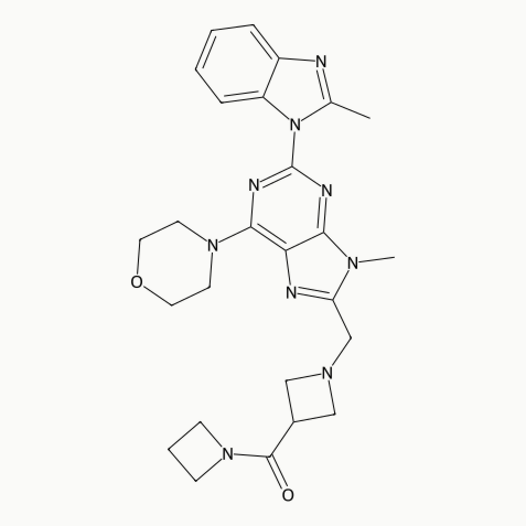 Cc1nc2ccccc2n1-c1nc(N2CCOCC2)c2nc(CN3CC(C(=O)N4CCC4)C3)n(C)c2n1